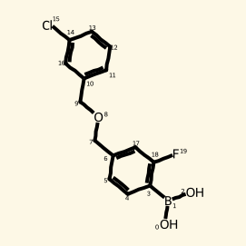 OB(O)c1ccc(COCc2cccc(Cl)c2)cc1F